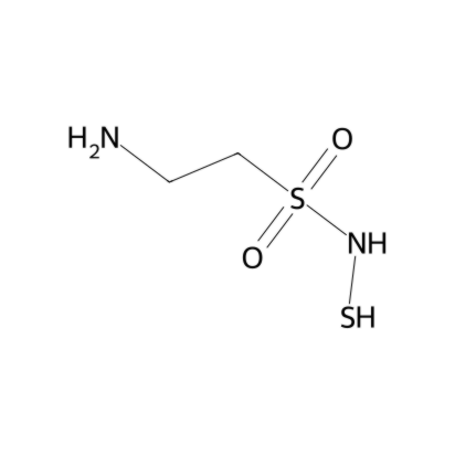 NCCS(=O)(=O)NS